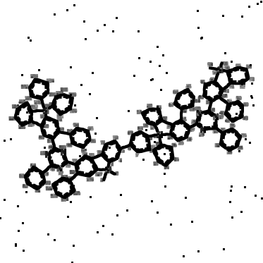 C[Si]1(C)c2cc(-c3ccc([Si]4(c5ccccc5)c5ccccc5-c5c4ccc(-c4nc(-c6ccccc6)nc(-c6ccc7c(c6-c6ccccc6)-c6ccccc6[Si]7(C)C)n4)c5-c4ccccc4)cc3)ccc2-c2cc(-c3nc(-c4ccccc4)nc(-c4cc5c(cc4-c4ccccc4)[Si](c4ccccc4)(c4ccccc4)c4ccccc4-5)n3)c(-c3ccccc3)cc21